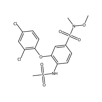 CON(C)S(=O)(=O)c1ccc(NS(C)(=O)=O)c(Oc2ccc(Cl)cc2Cl)c1